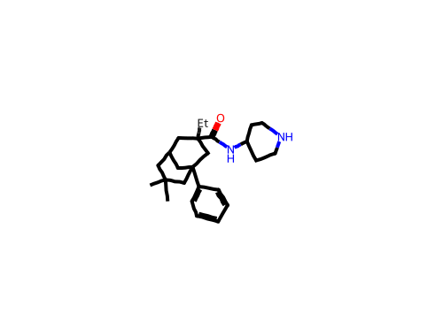 CCC1(C(=O)NC2CCNCC2)CC2CC(C)(C)CC(c3ccccc3)(C2)C1